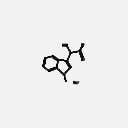 Cn1cc(C(O)C(=O)[O-])c2ccccc21.[Na+]